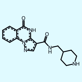 O=C(NCC1CCNCC1)c1cnn2c1[nH]c(=O)c1ccccc12